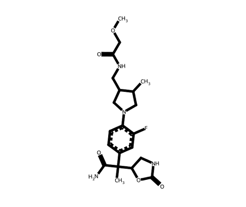 COCC(=O)NCC1CN(c2ccc(C(C)(C(N)=O)C3CNC(=O)O3)cc2F)CC1C